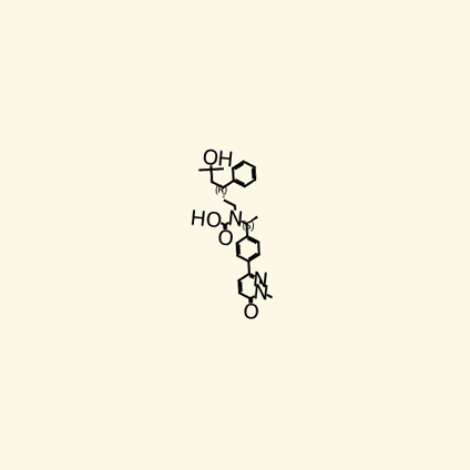 C[C@@H](c1ccc(-c2ccc(=O)n(C)n2)cc1)N(CC[C@H](CC(C)(C)O)c1ccccc1)C(=O)O